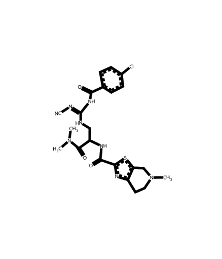 CN1CCc2nc(C(=O)NC(CN/C(=N\C#N)NC(=O)c3ccc(Cl)cc3)C(=O)N(C)C)sc2C1